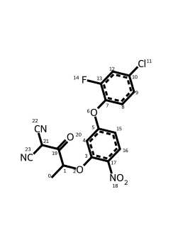 CC(Oc1cc(Oc2ccc(Cl)cc2F)ccc1[N+](=O)[O-])C(=O)C(C#N)C#N